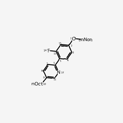 CCCCCCCCCOc1ccc(-c2ccc(CCCCCCCC)cn2)c(F)c1